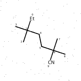 CCC(C)(C)CCC(C)(C)C#N